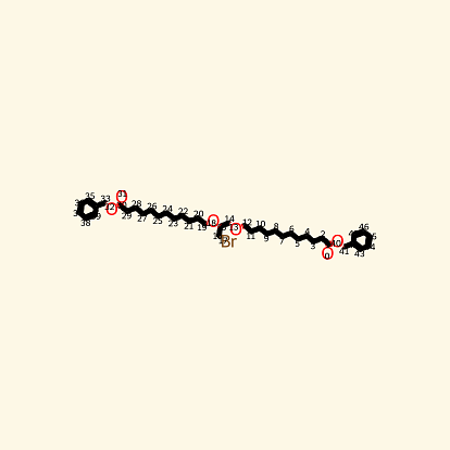 O=C(CCCCCCCCCCCOCC(CBr)OCCCCCCCCCCCC(=O)OCc1ccccc1)OCc1ccccc1